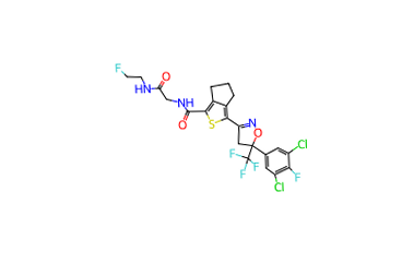 O=C(CNC(=O)c1sc(C2=NOC(c3cc(Cl)c(F)c(Cl)c3)(C(F)(F)F)C2)c2c1CCC2)NCCF